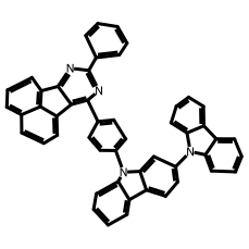 c1ccc(-c2nc(-c3ccc(-n4c5ccccc5c5ccc(-n6c7ccccc7c7ccccc76)cc54)cc3)c3c(n2)-c2cccc4cccc-3c24)cc1